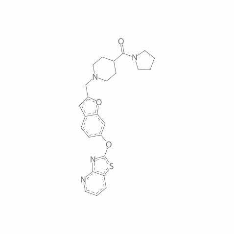 O=C(C1CCN(Cc2cc3ccc(Oc4nc5ncccc5s4)cc3o2)CC1)N1CCCC1